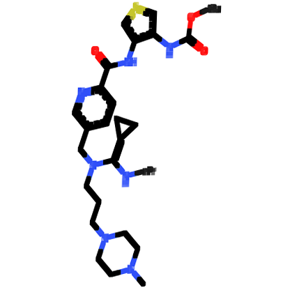 CCCNC(=C1CC1)N(CCCN1CCN(C)CC1)Cc1ccc(C(=O)Nc2cscc2NC(=O)OC(C)(C)C)nc1